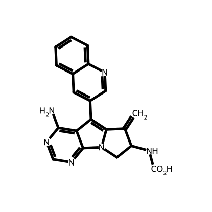 C=C1c2c(-c3cnc4ccccc4c3)c3c(N)ncnc3n2CC1NC(=O)O